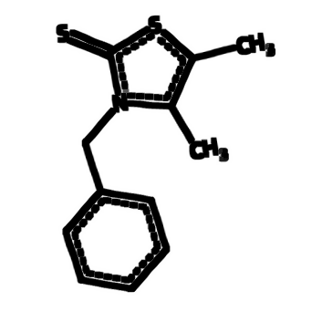 Cc1sc(=S)n(Cc2ccccc2)c1C